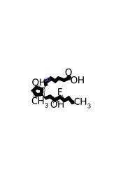 CCCC[C@@H](F)[C@H](O)CC[C@@H]1[C@@H](C/C=C\CCCC(=O)O)[C@@H](O)C[C@H]1C